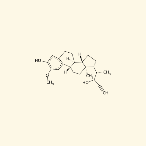 C#CC(O)[C@@H](C)[C@H]1CC[C@H]2[C@@H]3CCc4cc(O)c(OC)cc4[C@H]3CC[C@]12C